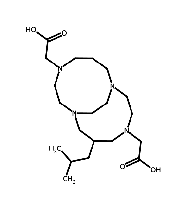 CC(C)CC1CN2CCN(CCCN(CC(=O)O)CC2)CCN(CC(=O)O)C1